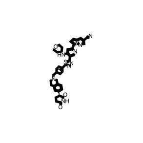 N#Cc1cnn2c(-c3cc(NC4CCOCC4)c(-c4nnc(C56CCC(CN7CCc8cc([C@@H]9CCC(=O)NC9=O)ccc8C7)(CC5)CC6)s4)cn3)ccc2c1